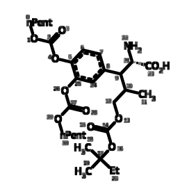 CCCCCOC(=O)Oc1ccc(C(C(C)COC(=O)OC(C)(C)CC)[C@H](N)C(=O)O)cc1OC(=O)OCCCCC